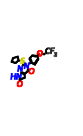 O=C1Cc2c(nc(SC3CCCC3)n(-c3ccc(OCC(F)(F)F)cc3)c2=O)N1